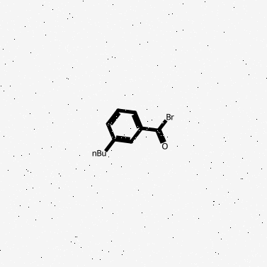 CCCCc1cccc(C(=O)Br)c1